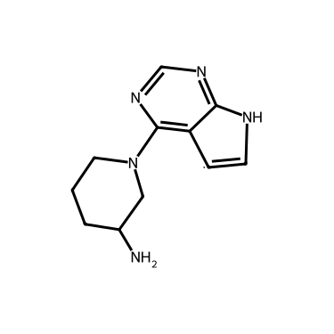 NC1CCCN(c2ncnc3[nH]c[c]c23)C1